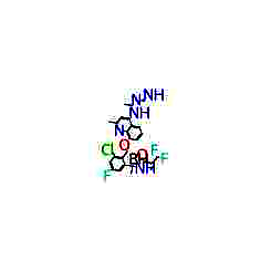 B[C@@](C)(NC(=O)CC(F)F)c1cc(F)cc(Cl)c1COc1cccc2c(N/C(C)=N\C=N)cc(C)nc12